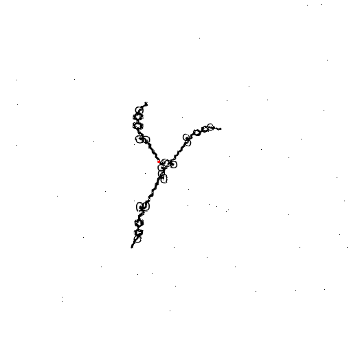 CCCCOc1ccc(-c2ccc(/C=C/C(=O)OCCCCCCCCCC(=O)OCC(COC(=O)CCCCCCCCCOC(=O)/C=C/c3ccc(-c4ccc(OCCCC)cc4)cc3)OC(=O)CCCCCCCCCOC(=O)/C=C/c3ccc(-c4ccc(OCCCC)cc4)cc3)cc2)cc1